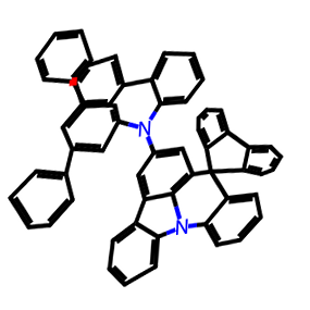 c1ccc(-c2cc(-c3ccccc3)cc(N(c3cc4c5c(c3)c3ccccc3n5-c3ccccc3C43c4ccccc4-c4ccccc43)c3ccccc3-c3ccccc3)c2)cc1